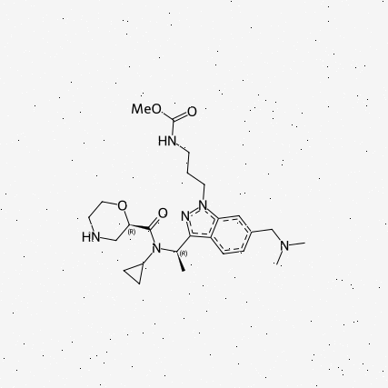 COC(=O)NCCCn1nc([C@@H](C)N(C(=O)[C@H]2CNCCO2)C2CC2)c2ccc(CN(C)C)cc21